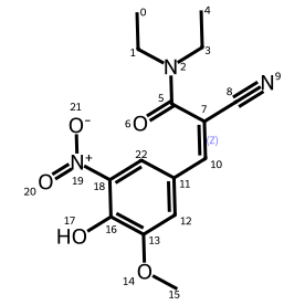 CCN(CC)C(=O)/C(C#N)=C\c1cc(OC)c(O)c([N+](=O)[O-])c1